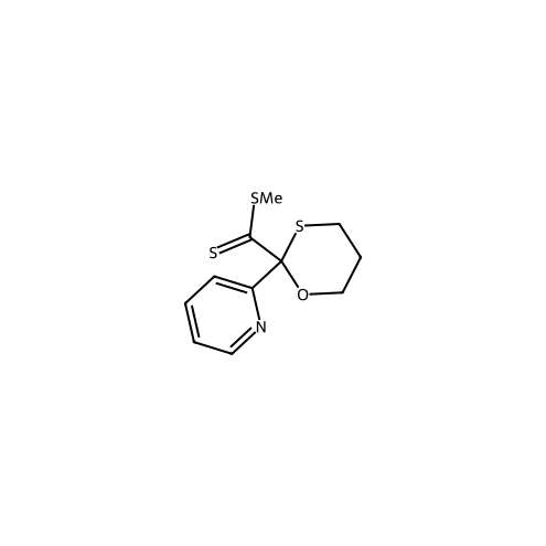 CSC(=S)C1(c2ccccn2)OCCCS1